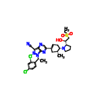 C[C@@H]1CC(c2cnc3c(C#N)nn([C@H](C)c4ccc(Cl)cc4Cl)c3n2)=CC[C@@H]1N1CCC[C@H]1C(O)CS(C)(=O)=O